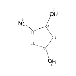 N#CC1CC(O)CC1O